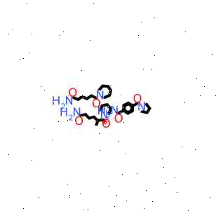 CC(CCCC(N)=O)C(=O)N1CCCCC1.NC(=O)CCCCC(=O)N1CCCCCC1.NC(=O)c1ccc(C(=O)N2CCCC2)cc1